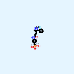 CCC(CC)(c1ccc(NC(=O)C=Cc2cnn(C)c2-c2ccccc2F)cc1)P(=O)(O)O